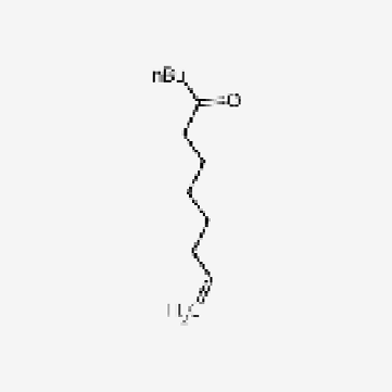 C=CCCCCCC(=O)CCCC